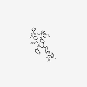 CC(C)(C)C(=O)Oc1ccc(C(CN(Cc2ccccc2)C[C@H](O)c2ccc(OCc3ccccc3)c([N+](=O)[O-])c2)c2ccc(OC(=O)C(C)(C)C)cc2)cc1